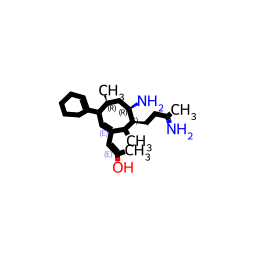 C/C(O)=C\C1=C\C(C2=CCCCC2)[C@H](C)C[C@@H](N)[C@@H](CCC(C)N)C1C